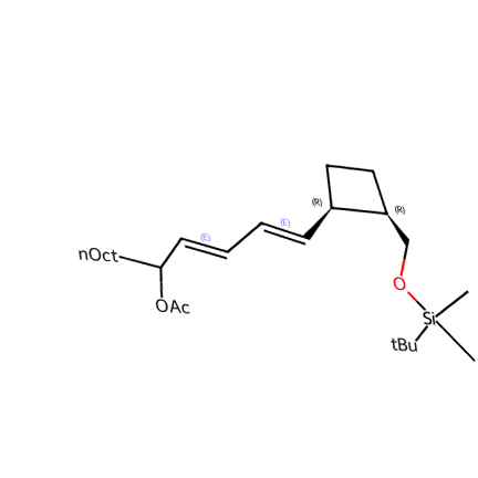 CCCCCCCCC(/C=C/C=C/[C@H]1CC[C@H]1CO[Si](C)(C)C(C)(C)C)OC(C)=O